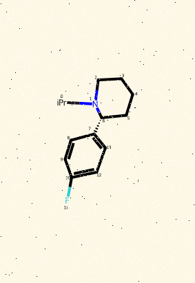 CC(C)N1CCCC[C@@H]1c1ccc(F)cc1